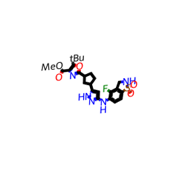 COC(=O)c1nc(C2CCC(c3cc(Nc4ccc5c(c4F)CNS5(=O)=O)n[nH]3)C2)oc1C(C)(C)C